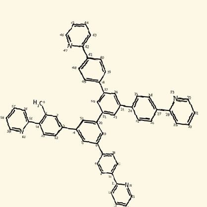 Cc1cc(-c2cc(-c3ccc(-c4ccccn4)cc3)cc(-c3cc(-c4ccc(-c5ccccn5)cc4)cc(-c4ccc(-c5ccccn5)cc4)c3)c2)ccc1-c1ccccn1